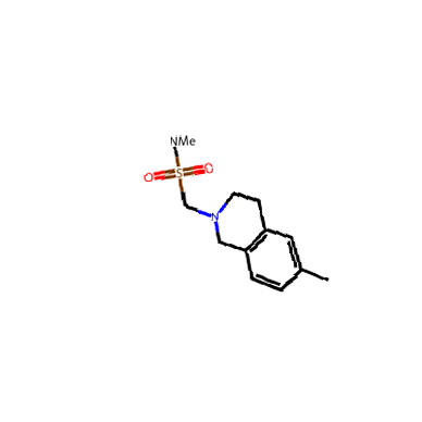 CNS(=O)(=O)CN1CCc2cc(C)ccc2C1